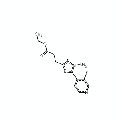 CCOC(=O)CCc1nc(-c2ccncc2F)n(C)n1